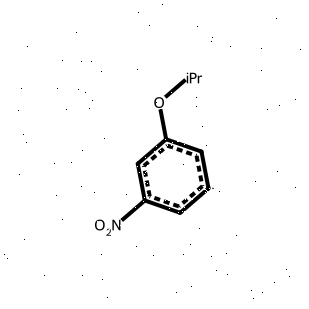 CC(C)Oc1c[c]cc([N+](=O)[O-])c1